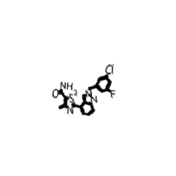 Cc1nc(-c2cccc3nn(Cc4cc(F)cc(Cl)c4)cc23)sc1C(N)=O